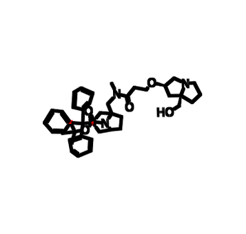 CN(CC12CCC(CN(C(c3ccccc3)(c3ccccc3)c3ccccc3)C1)N2C(=O)OC(C)(C)C)C(=O)CCO[C@H]1CN2CCC[C@]2(CO)C1